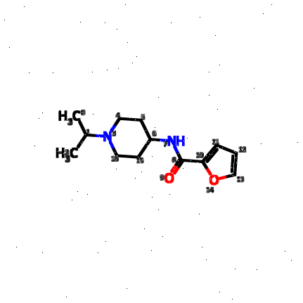 CC(C)N1CCC(NC(=O)c2ccco2)CC1